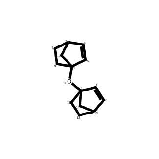 C1=CC2(OC34C=CC(CC3)C4)CCC1C2